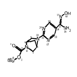 CC(C)(C)OC(=O)N1CC2CC1CN2c1ncc(C(N)=NO)cn1